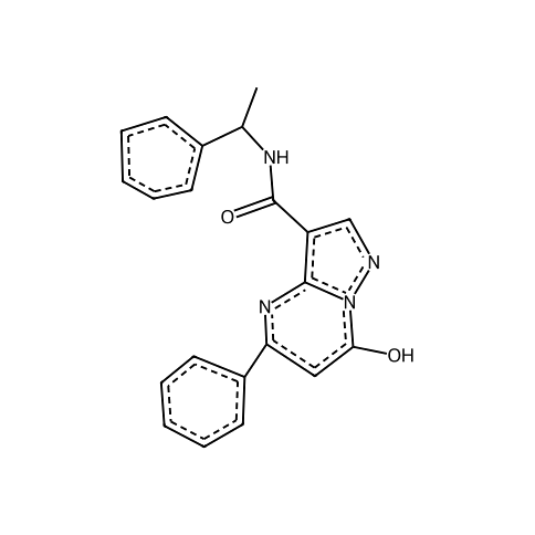 CC(NC(=O)c1cnn2c(O)cc(-c3ccccc3)nc12)c1ccccc1